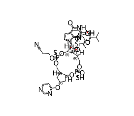 CC(C)C(=O)Nc1nc2c(ccn2[C@@H]2O[C@@H]3CO[P@@](=O)(S)O[C@H]4C[C@H](Oc5ccncn5)C[C@@H]4CO[P@](=S)(OCCC#N)O[C@@H]2[C@@H]3O[Si](O[Si](O)(C(C)C)C(C)C)(C(C)C)C(C)C)c(=O)[nH]1